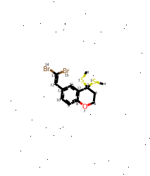 CSC1(SC)CCOc2ccc(C=C(Br)Br)cc21